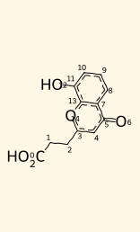 O=C(O)CCc1cc(=O)c2cccc(O)c2o1